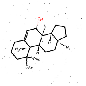 CC(=O)OC1(OC(C)=O)CCCC2=C[C@H](O)[C@H]3[C@@H]4CCC[C@@]4(C)CC[C@@H]3[C@]21C